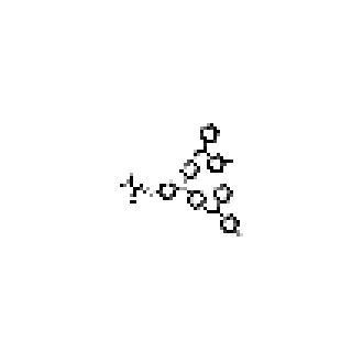 C=C(C)C(=O)OCc1ccc(N(c2ccc(/C=C(/c3ccccc3)c3cccc(C)c3)cc2)c2ccc(/C=C(\c3ccccc3)c3ccc(C)cc3)cc2)cc1